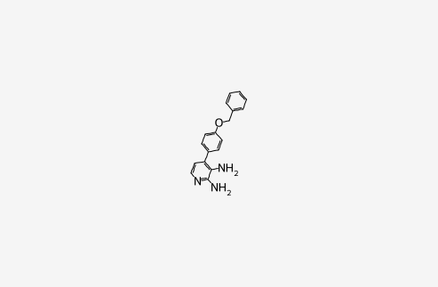 Nc1nccc(-c2ccc(OCc3ccccc3)cc2)c1N